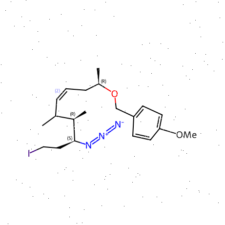 COc1ccc(CO[C@H](C)C/C=C\C(C)[C@@H](C)[C@H](CCI)N=[N+]=[N-])cc1